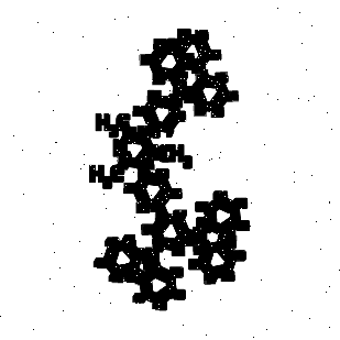 Cc1nc(C)c(-c2ccc(N(c3ccccc3)c3cccc4ccccc34)cc2)c(C)c1-c1ccc(-c2cc(-n3c4ccccc4c4ccccc43)cc(-n3c4ccccc4c4ccccc43)c2)cc1